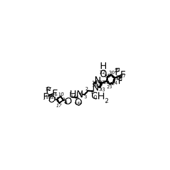 C=C(CCNC(=O)CO[C@H]1C[C@@H](OC(F)(F)F)C1)n1cnc(-c2ccc(C(F)(F)F)cc2O)c1